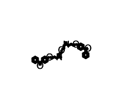 CN(CCCOc1ccc(C(=O)c2ccccc2)cc1)CCOCCN(C)CCCOc1ccc(C(=O)c2ccccc2)cc1